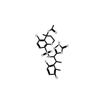 CC(=O)OC1(C)CCOc2c(S(=O)(=O)NC(c3n[nH]c(=O)o3)C(C)c3c(F)ccc(Cl)c3C)ccc(Cl)c21